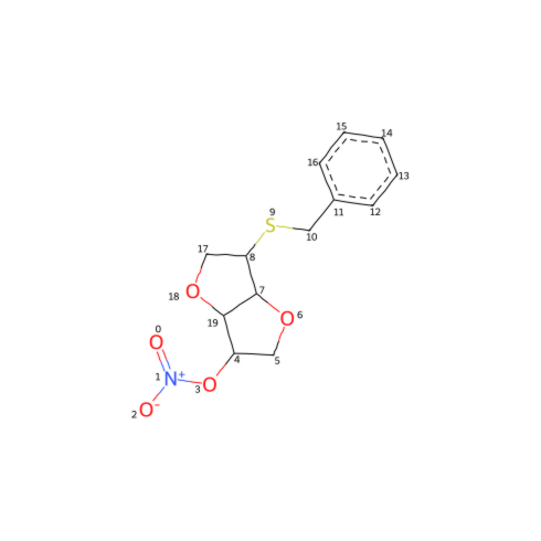 O=[N+]([O-])OC1COC2C(SCc3ccccc3)COC12